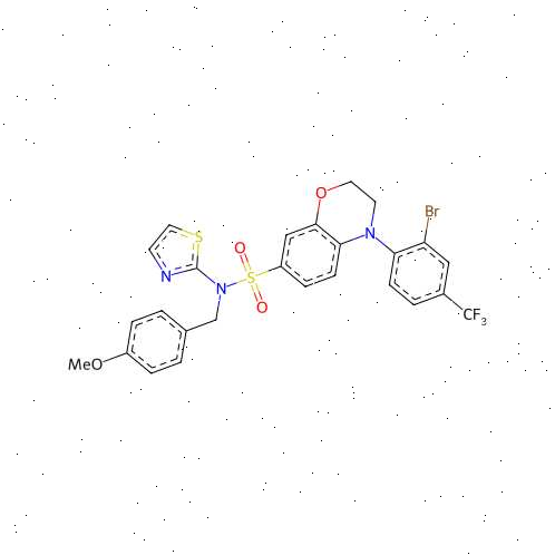 COc1ccc(CN(c2nccs2)S(=O)(=O)c2ccc3c(c2)OCCN3c2ccc(C(F)(F)F)cc2Br)cc1